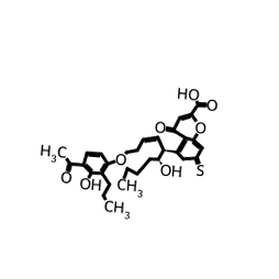 CCCC[C@@H](O)[C@@H](/C=C\CCOc1ccc(C(C)=O)c(O)c1CCC)C1=c2c(=O)cc(C(=O)O)oc2=CC(=S)C1